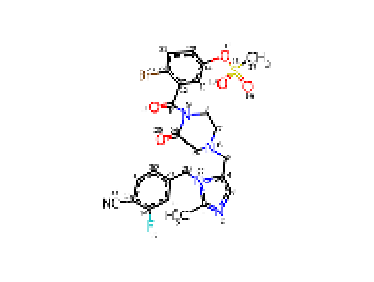 Cc1ncc(CN2CCN(C(=O)c3cc(OS(C)(=O)=O)ccc3Br)C(=O)C2)n1Cc1ccc(C#N)c(F)c1